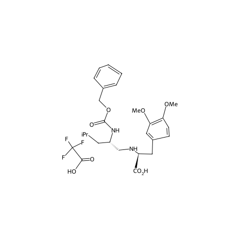 COc1ccc(C[C@H](NC[C@H](CC(C)C)NC(=O)OCc2ccccc2)C(=O)O)cc1OC.O=C(O)C(F)(F)F